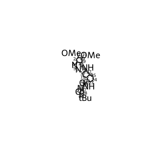 COc1cc2ncnc(Nc3ccc4c(C(=O)Nc5cc(C(C)(C)C)on5)cccc4c3)c2cc1OC